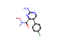 CON(C)C(=O)c1nc(N)ncc1-c1ccc(F)cc1